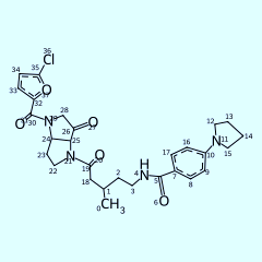 CC(CCNC(=O)c1ccc(N2CCCC2)cc1)CC(=O)N1CCC2C1C(=O)CN2C(=O)c1ccc(Cl)o1